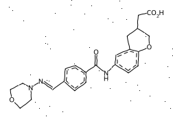 O=C(O)CC1COc2ccc(NC(=O)c3ccc(C=NN4CCOCC4)cc3)cc2C1